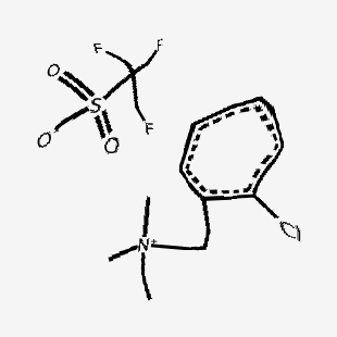 C[N+](C)(C)Cc1ccccc1Cl.O=S(=O)([O-])C(F)(F)F